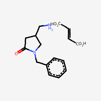 NCC1CC(=O)N(Cc2ccccc2)C1.O=C(O)C=CC(=O)O